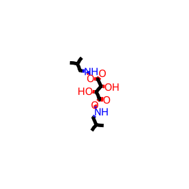 CC(C)CNOC(=O)C(O)C(O)C(=O)ONCC(C)C